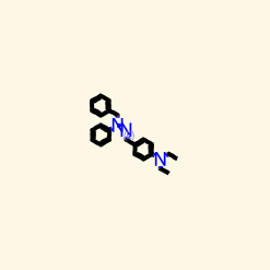 CCN(CC)c1ccc(/C=N/N(Cc2ccccc2)c2ccccc2)cc1